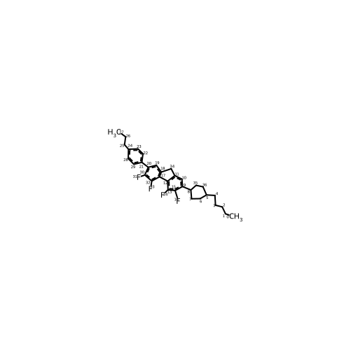 CCCCCC1CCC(c2cc3c(c(F)c2F)-c2c(cc(-c4ccc(CCC)cc4)c(F)c2F)C3)CC1